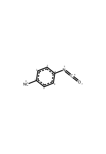 N#Cc1[c]cc(N=C=O)cc1